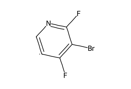 Fc1[c]cnc(F)c1Br